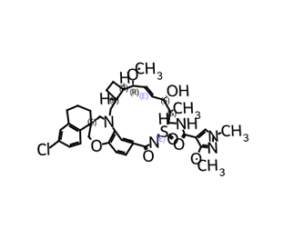 COc1nn(C)cc1C(=O)NC1[C@@H](C)[C@@H](O)/C=C/[C@H](OC)[C@@H]2CC[C@H]2CN2C[C@@]3(CCCc4cc(Cl)ccc43)COc3ccc(cc32)C(=O)/N=[SH]\1=O